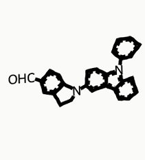 O=Cc1ccc2c(c1)CCN2c1ccc2c(c1)c1ccccc1n2-c1ccccc1